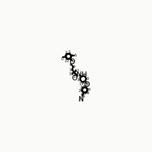 Cc1ccc(C)c(OCCCC(C)(C)C(=O)N[C@H]2CC[C@H](Oc3ccc(C#N)cc3)CC2)c1